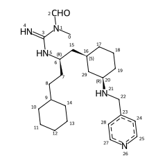 CN(C=O)C(=N)N[C@H](CCC1CCCCC1)C[C@H]1CCC[C@@H](NCc2ccncc2)C1